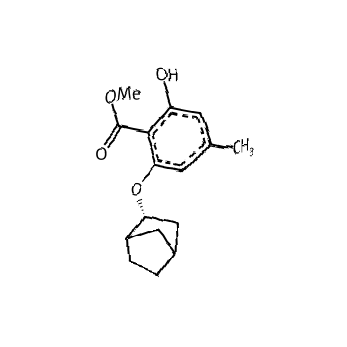 COC(=O)c1c(O)cc(C)cc1O[C@@H]1CC2CCC1C2